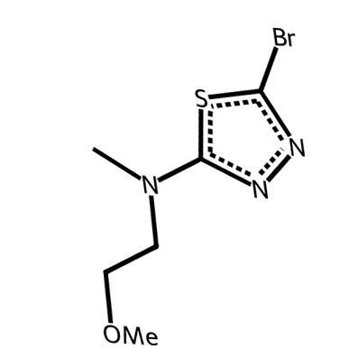 COCCN(C)c1nnc(Br)s1